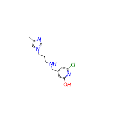 Cc1cn(CCCNCc2cc(O)nc(Cl)c2)cn1